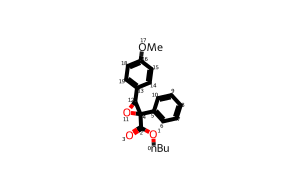 CCCCOC(=O)C1(c2ccccc2)OC1c1ccc(OC)cc1